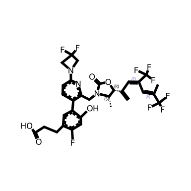 C=C(/C=C(\C=C(/C)C(F)(F)F)C(F)(F)F)[C@H]1OC(=O)N(Cc2nc(N3CC(F)(F)C3)ccc2-c2cc(CCC(=O)O)c(F)cc2O)[C@H]1C